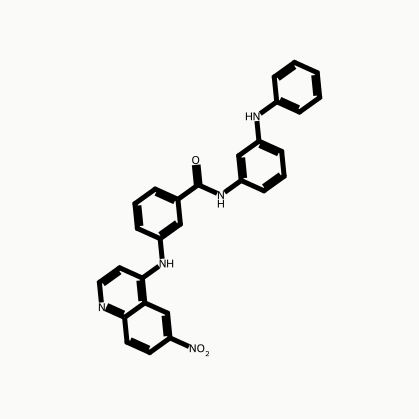 O=C(Nc1cccc(Nc2ccccc2)c1)c1cccc(Nc2ccnc3ccc([N+](=O)[O-])cc23)c1